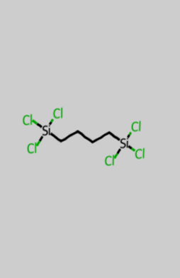 Cl[Si](Cl)(Cl)CCCC[Si](Cl)(Cl)Cl